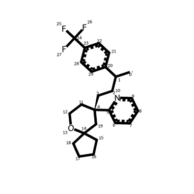 [CH2]C(CC[C@]1(c2ccccn2)CCOC2(CCCC2)C1)c1ccc(C(F)(F)F)cc1